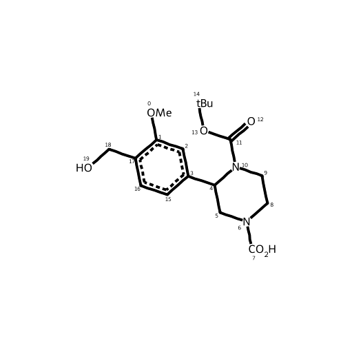 COc1cc(C2CN(C(=O)O)CCN2C(=O)OC(C)(C)C)ccc1CO